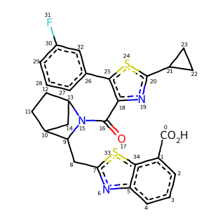 O=C(O)c1cccc2nc(CC3C4CCC(C4)N3C(=O)c3nc(C4CC4)sc3-c3cccc(F)c3)sc12